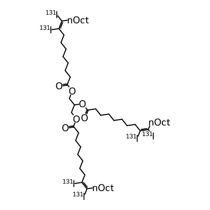 CCCCCCCC/C([131I])=C(/[131I])CCCCCCCC(=O)OCC(COC(=O)CCCCCCC/C([131I])=C(/[131I])CCCCCCCC)OC(=O)CCCCCCC/C([131I])=C(/[131I])CCCCCCCC